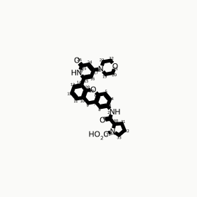 O=C(Nc1ccc2c(c1)Cc1cccc(-c3cc(N4CCOCC4)cc(=O)[nH]3)c1O2)C1CCCN1C(=O)O